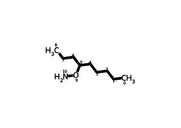 CCCCCC(CCC)ON